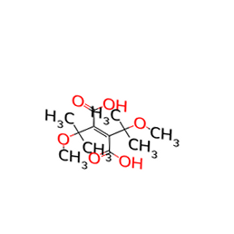 COC(C)(C)C(C(=O)O)=C(C(=O)O)C(C)(C)OC